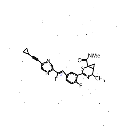 CNC(=O)C12CC1C(C)N=C(c1cc(/C=C(\F)c3cnc(C#CC4CC4)cn3)ccc1F)S2